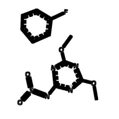 COc1nc(N=S(=O)=O)nc(OC)n1.Fc1ccccc1